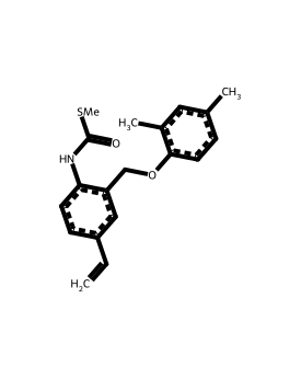 C=Cc1ccc(NC(=O)SC)c(COc2ccc(C)cc2C)c1